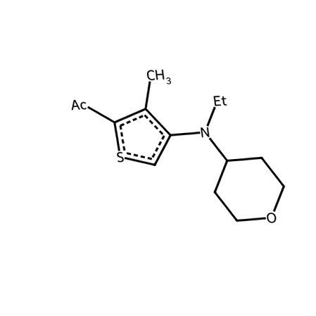 CCN(c1csc(C(C)=O)c1C)C1CCOCC1